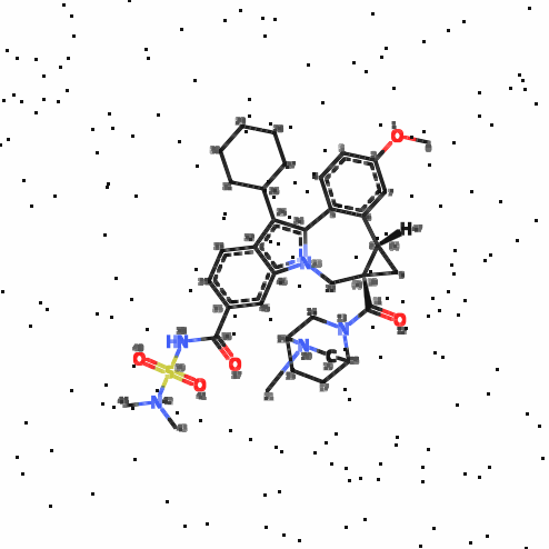 COc1ccc2c(c1)[C@@H]1C[C@]1(C(=O)N1CC3CCC1CN3C)Cn1c-2c(C2CCCCC2)c2ccc(C(=O)NS(=O)(=O)N(C)C)cc21